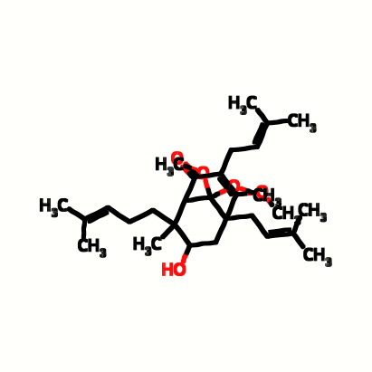 COC1=C(CC=C(C)C)C(=O)C2C(C)(CCC=C(C)C)C(O)CC1(CC=C(C)C)C2(OC)OC